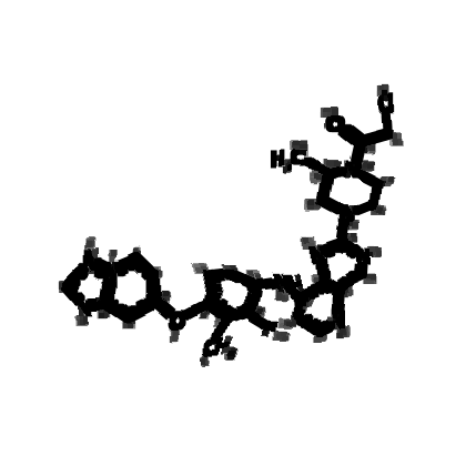 Cc1c(Oc2ccn3ncnc3c2)ccc(Nc2ncnc3cnc(N4CCN(C(=O)CCl)[C@H](C)C4)nc23)c1F